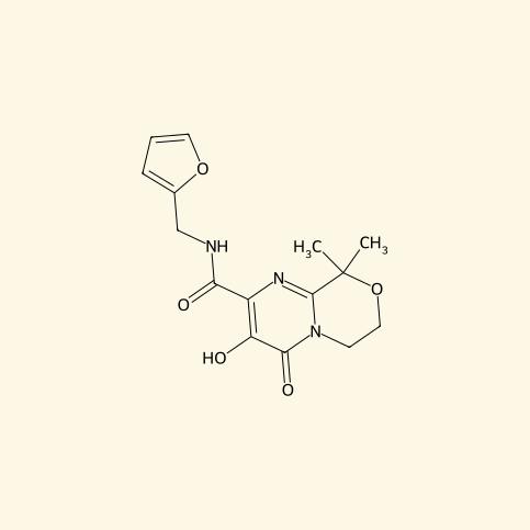 CC1(C)OCCn2c1nc(C(=O)NCc1ccco1)c(O)c2=O